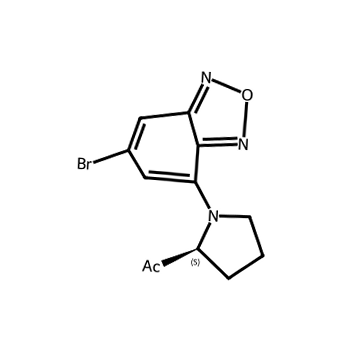 CC(=O)[C@@H]1CCCN1c1cc(Br)cc2nonc12